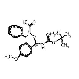 COc1ccc([C@H](NC(=O)OC(C)(C)C)O[C@H](Cc2ccccc2)C(=O)O)cc1